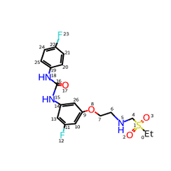 CCS(=O)(=O)CNCCOc1cc(F)cc(NC(=O)Nc2ccc(F)cc2)c1